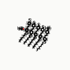 CCCCCCCCOc1ccc(CCc2ccc([S])cc2)cc1.CCCCCCCCOc1ccc(CCc2ccc([S])cc2)cc1.CCCCCCCCOc1ccc(CCc2ccc([S])cc2)cc1.CCCCCCCCOc1ccc(CCc2ccc([S])cc2)cc1.CCCCCCCCOc1ccc(CCc2ccc([S])cc2)cc1.F.F.F.F.F